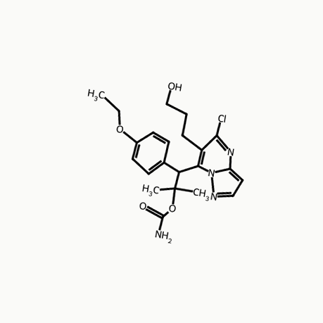 CCOc1ccc(C(c2c(CCCO)c(Cl)nc3ccnn23)C(C)(C)OC(N)=O)cc1